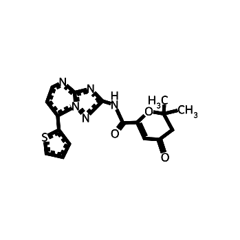 CC1(C)CC(=O)C=C(C(=O)Nc2nc3nccc(-c4cccs4)n3n2)O1